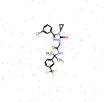 CC(C)(NC(=O)Cn1nc(-c2cccc(Cl)c2)n(C2CC2)c1=O)c1cccc(C(F)(F)F)c1